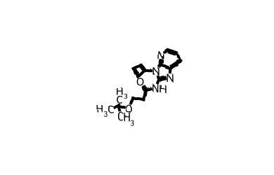 CC(C)(C)OCCC(=O)Nc1nc2cccnc2n1C1=CC=C1